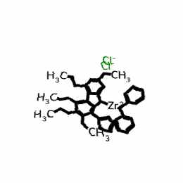 CCCc1cc(CC)cc2c1-c1c(CCC)c(CCC)c(CC)c(C3=CC=CC3)c1[CH]2[Zr+2]=[C](c1ccccc1)c1ccccc1.[Cl-].[Cl-]